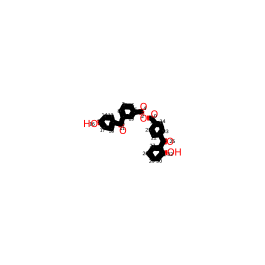 O=C(OC(=O)c1cccc(C(=O)c2ccc(O)cc2)c1)c1ccc(C(=O)c2ccccc2O)cc1